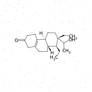 CC[C@H]1[C@@H]2CCC3=C(CCC(=O)C3)[C@H]2CC[C@]1(CC)C(C)O